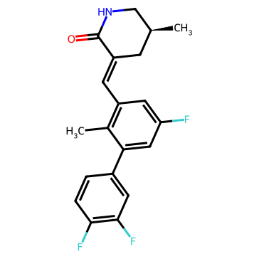 Cc1c(/C=C2\C[C@H](C)CNC2=O)cc(F)cc1-c1ccc(F)c(F)c1